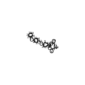 CN1CC(=O)OB(c2ccc(OCc3ccc(Oc4ccccc4)cc3)cc2)OC(=O)C1